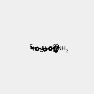 CC(C)(F)CN1CCC(COc2ccc(-c3ccc(C(=O)N4CCC[C@H]4C(N)=O)cc3)cn2)CC1